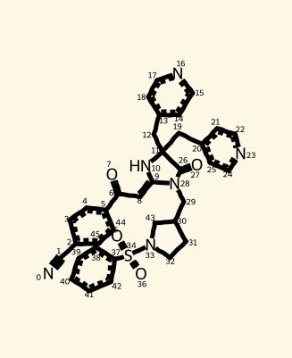 N#Cc1ccc(C(=O)C=C2NC(Cc3ccncc3)(Cc3ccncc3)C(=O)N2CC2CCN(S(=O)(=O)c3ccccc3)C2)cc1